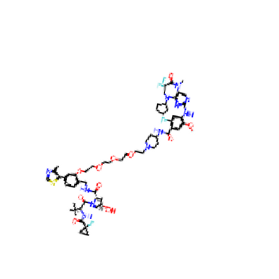 COc1cc(C(=O)NC2CCN(CCOCCOCCOCCOc3cc(-c4scnc4C)ccc3CNC(=O)[C@@H]3C[C@@H](O)CN3C(=O)[C@@H](NC(=O)C3(F)CC3)C(C)(C)C)CC2)c(F)cc1Nc1ncc2c(n1)N(C1CCCC1)CC(F)(F)C(=O)N2C